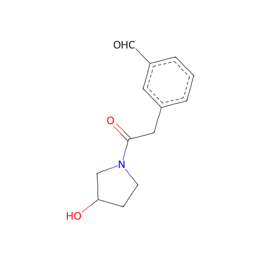 O=Cc1cccc(CC(=O)N2CCC(O)C2)c1